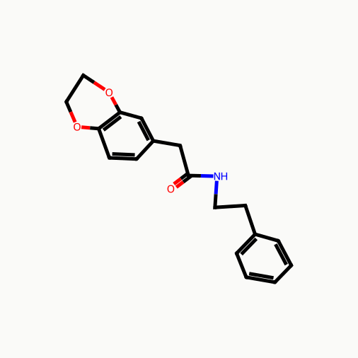 O=C(Cc1ccc2c(c1)OCCO2)NCCc1ccccc1